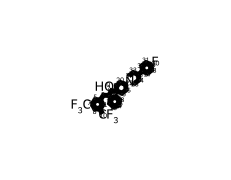 O[C@@H](CCc1cc(C(F)(F)F)cc(C(F)(F)F)c1)[C@]1(c2ccccc2)CC[C@@H](N2CCC(c3ccc(F)cc3)CC2)CC1